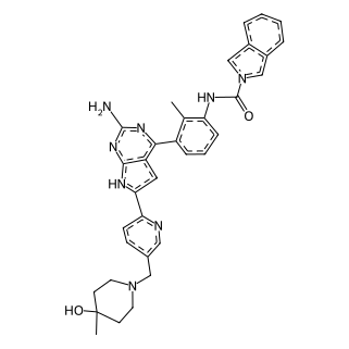 Cc1c(NC(=O)n2cc3ccccc3c2)cccc1-c1nc(N)nc2[nH]c(-c3ccc(CN4CCC(C)(O)CC4)cn3)cc12